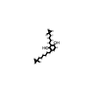 CC1(CCCCCCc2ccc(O)c(CCCCC3(C)CC3)c2O)CC1